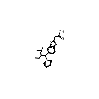 CCC(C(c1ccc2nc(CC(=O)O)sc2c1)n1ccnc1)N(C)C